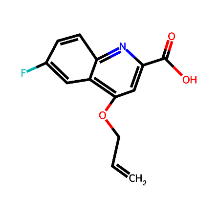 C=CCOc1cc(C(=O)O)nc2ccc(F)cc12